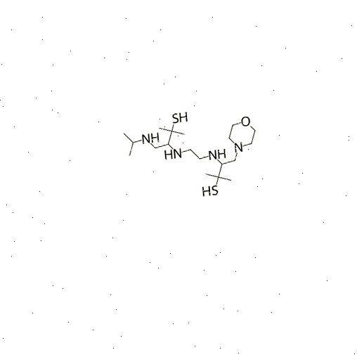 CC(C)NCC(NCCNC(CN1CCOCC1)C(C)(C)S)C(C)(C)S